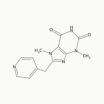 Cn1c(Cc2ccncc2)nc2c1c(=O)[nH]c(=O)n2C